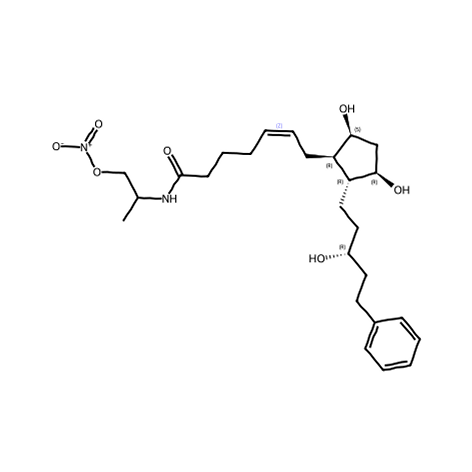 CC(CO[N+](=O)[O-])NC(=O)CCC/C=C\C[C@@H]1[C@@H](CC[C@@H](O)CCc2ccccc2)[C@H](O)C[C@@H]1O